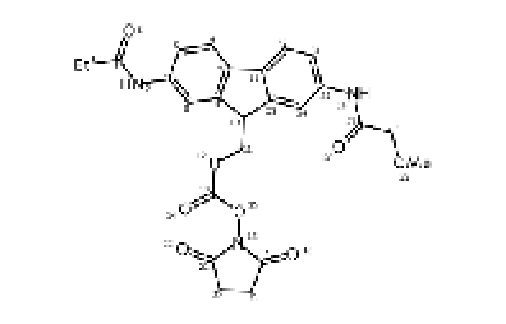 CCC(=O)Nc1ccc2c(c1)C(COC(=O)ON1C(=O)CCC1=O)c1cc(NC(=O)COC)ccc1-2